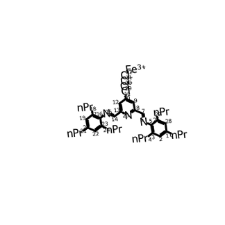 CCCc1cc(CCC)c(N=Cc2cc(Cl)cc(C=Nc3c(CCC)cc(CCC)cc3CCC)n2)c(CCC)c1.[Cl-].[Cl-].[Cl-].[Fe+3]